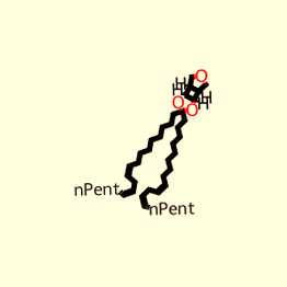 CCCCC/C=C\C/C=C\CCCCCCCCC1(CCCCCCCC/C=C\C/C=C\CCCCC)O[C@@H]2[C@@H]3COC[C@@H]3[C@@H]2O1